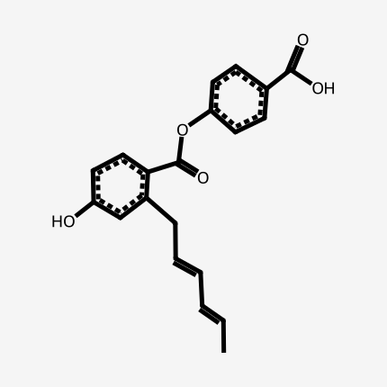 C/C=C/C=C/Cc1cc(O)ccc1C(=O)Oc1ccc(C(=O)O)cc1